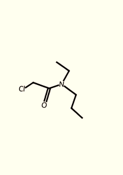 CCCN(CC)C(=O)CCl